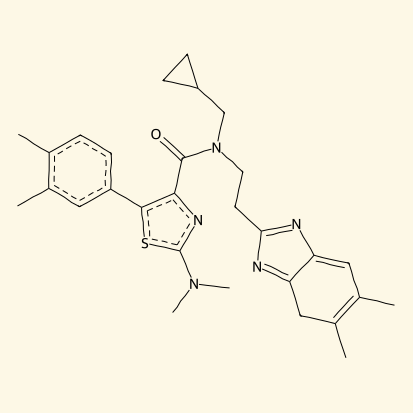 CC1=C(C)CC2=NC(CCN(CC3CC3)C(=O)c3nc(N(C)C)sc3-c3ccc(C)c(C)c3)=NC2=C1